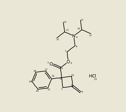 C=C1CC(C(=O)OCCN(C(C)C)C(C)C)(c2ccccc2)C1.Cl